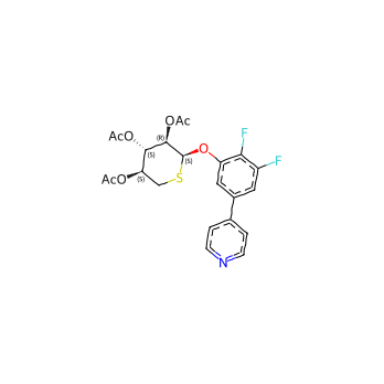 CC(=O)O[C@@H]1[C@@H](OC(C)=O)[C@@H](Oc2cc(-c3ccncc3)cc(F)c2F)SC[C@H]1OC(C)=O